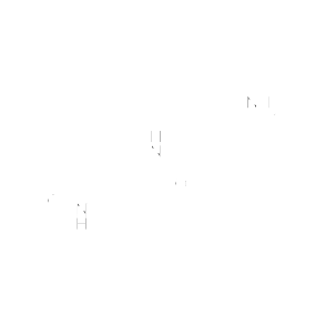 Nc1ccc(C(=O)Nc2ccc(NCl)cc2)cc1